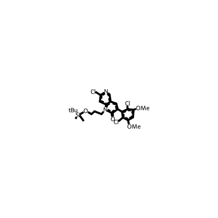 COc1cc(OC)c(Cl)c(-c2cc3cnc(Cl)cc3n(CCCO[Si](C)(C)C(C)(C)C)c2=O)c1Cl